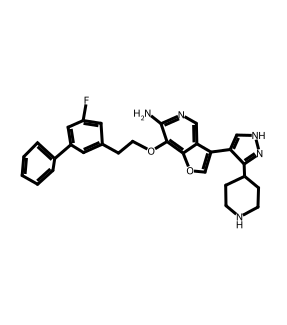 Nc1ncc2c(-c3c[nH]nc3C3CCNCC3)coc2c1OCCc1cc(F)cc(-c2ccccc2)c1